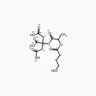 CC(OC(=O)CCCO)C(=O)OC(CC(=O)O)(CC(=O)O)C(=O)O